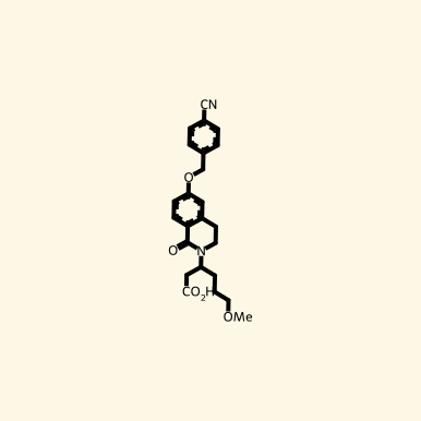 COCCCC(CC(=O)O)N1CCc2cc(OCc3ccc(C#N)cc3)ccc2C1=O